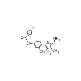 Cc1c(CN)sc(-c2ccc(C3CC3C(=O)N3CC(F)C3)cc2C(F)(F)F)c1C